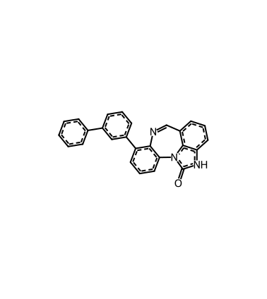 O=c1[nH]c2cccc3c2n1-c1cccc(-c2cccc(-c4ccccc4)c2)c1N=C3